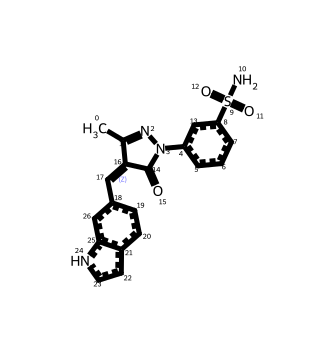 CC1=NN(c2cccc(S(N)(=O)=O)c2)C(=O)/C1=C\c1ccc2cc[nH]c2c1